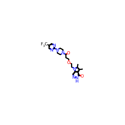 Cc1c(C)n(CCOCCC(=O)N2CCN(c3ncc(C(F)(F)F)cn3)CC2)c2cn[nH]c(=O)c12